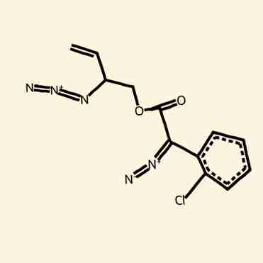 C=CC(COC(=O)C(=[N+]=[N-])c1ccccc1Cl)N=[N+]=[N-]